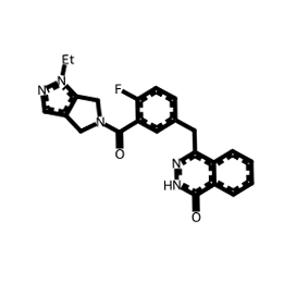 CCn1ncc2c1CN(C(=O)c1cc(Cc3n[nH]c(=O)c4ccccc34)ccc1F)C2